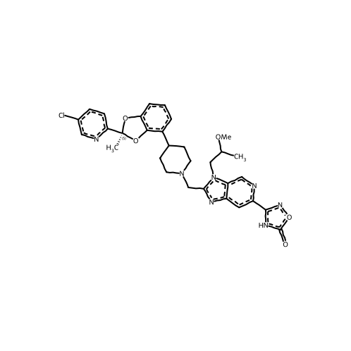 COC(C)Cn1c(CN2CCC(c3cccc4c3O[C@@](C)(c3ccc(Cl)cn3)O4)CC2)nc2cc(-c3noc(=O)[nH]3)ncc21